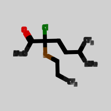 COC(=O)C(Cl)(CCC(SC)C(F)(F)F)SCCC(F)(F)F